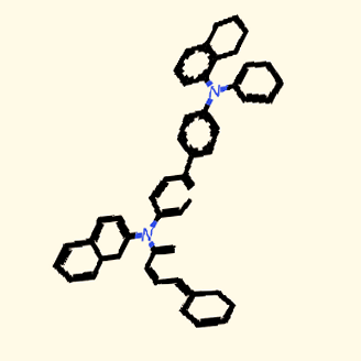 C=C(/C=C\C(=C/C)N(C(=C)/C=C\C=C1/CC=CCC1)C1=CC=C2C=CC=CC2C1)c1ccc(N(C2=CCCC=C2)c2cccc3c2CCCC3)cc1